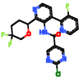 O=C(Nc1c(-c2ncccc2F)ccnc1C1CCC(F)(F)CO1)c1cnc(Cl)nc1